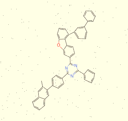 Cc1cc2ccccc2cc1-c1ccc(-c2nc(-c3ccccc3)nc(-c3ccc4c(c3)oc3cccc(-c5cccc(-c6ccccc6)c5)c34)n2)cc1